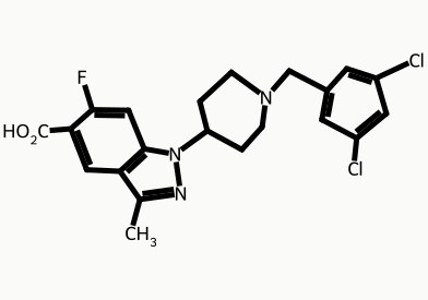 Cc1nn(C2CCN(Cc3cc(Cl)cc(Cl)c3)CC2)c2cc(F)c(C(=O)O)cc12